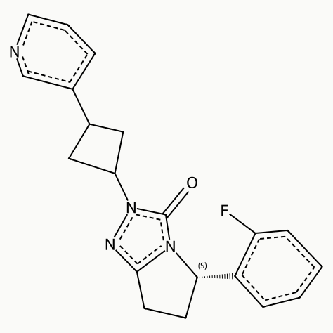 O=c1n(C2CC(c3cccnc3)C2)nc2n1[C@H](c1ccccc1F)CC2